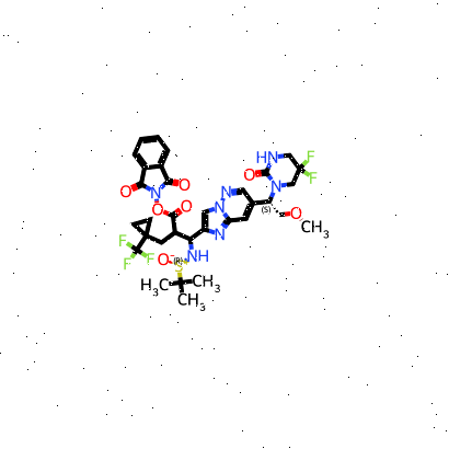 COC[C@H](c1cnn2cc(C(N[S@@+]([O-])C(C)(C)C)C(CC3(C(F)(F)F)CC3)C(=O)ON3C(=O)c4ccccc4C3=O)nc2c1)N1CC(F)(F)CNC1=O